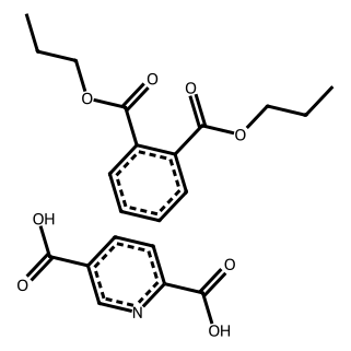 CCCOC(=O)c1ccccc1C(=O)OCCC.O=C(O)c1ccc(C(=O)O)nc1